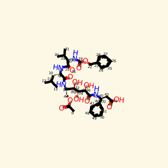 CC(=O)OC[C@H](NC(=O)[C@H](CC(C)C)NC(=O)[C@@H](NC(=O)OCc1ccccc1)C(C)C)[C@@H](O)[C@@H](O)[C@H](O)C(=O)N[C@@H](CC(=O)O)c1ccccc1